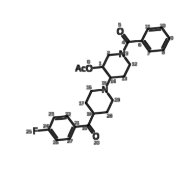 CC(=O)OC1CN(C(=O)c2ccccc2)CCC1N1CCC(C(=O)c2ccc(F)cc2)CC1